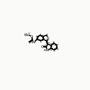 C=C(Nc1ccc2c(c1)/C(=C1\C(=O)Nc3ccccc31)OC2)OC(C)(C)C